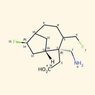 NC[C@@]1(CC(=O)O)C(CF)CCC2C[C@H]1C[C@H]2F